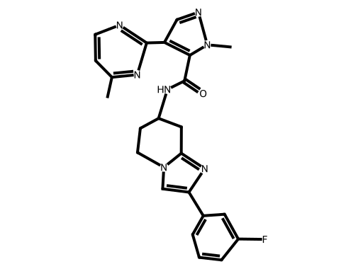 Cc1ccnc(-c2cnn(C)c2C(=O)NC2CCn3cc(-c4cccc(F)c4)nc3C2)n1